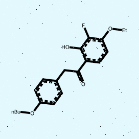 CCCCOc1ccc(CC(=O)c2ccc(OCC)c(F)c2O)cc1